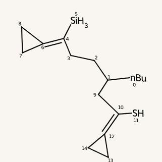 CCCCC(CCC([SiH3])=C1CC1)CC(S)=C1CC1